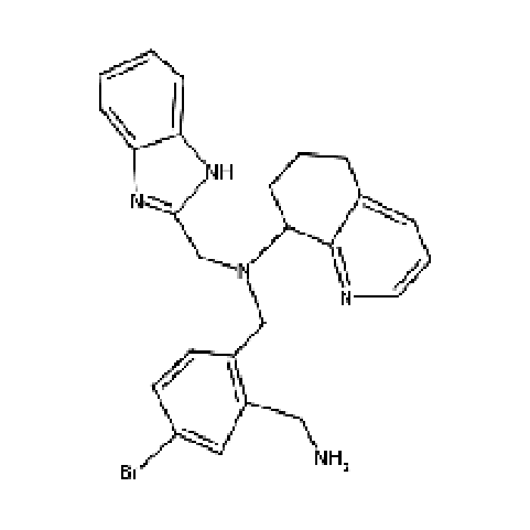 NCc1cc(Br)ccc1CN(Cc1nc2ccccc2[nH]1)C1CCCc2cccnc21